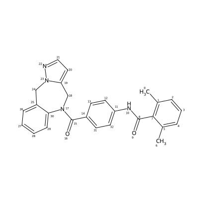 Cc1cccc(C)c1C(=O)Nc1ccc(C(=O)N2Cc3ccnn3Cc3ccccc32)cc1